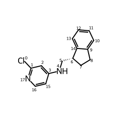 Clc1cc(NC[C@H]2CCc3ccccc32)ccn1